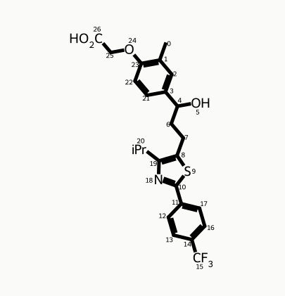 Cc1cc(C(O)CCc2sc(-c3ccc(C(F)(F)F)cc3)nc2C(C)C)ccc1OCC(=O)O